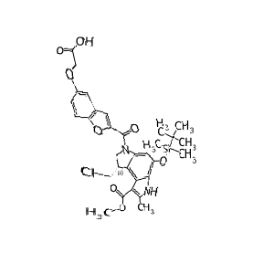 COC(=O)c1c(C)[nH]c2c(O[Si](C)(C)C(C)(C)C)cc3c(c12)[C@H](CCl)CN3C(=O)c1cc2cc(OCC(=O)O)ccc2o1